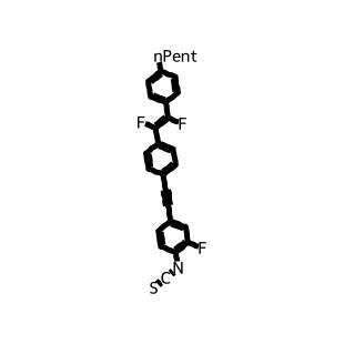 CCCCCc1ccc(C(F)=C(F)c2ccc(C#Cc3ccc(N=C=S)c(F)c3)cc2)cc1